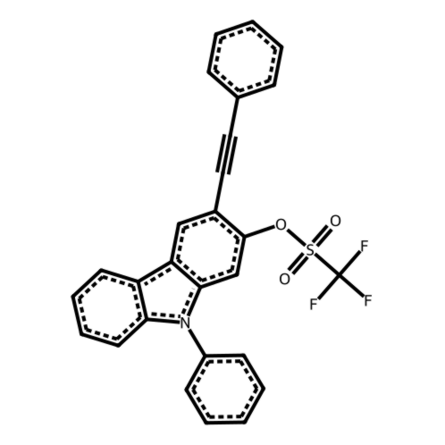 O=S(=O)(Oc1cc2c(cc1C#Cc1ccccc1)c1ccccc1n2-c1ccccc1)C(F)(F)F